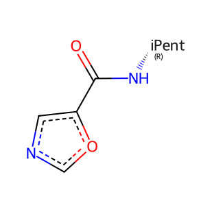 CCC[C@@H](C)NC(=O)c1cnco1